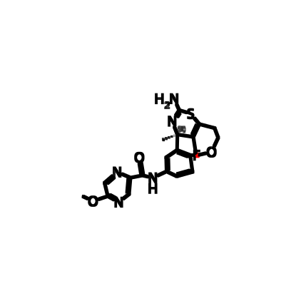 COc1cnc(C(=O)Nc2ccc(F)c([C@@]3(C)N=C(N)SC4=C3COCC4)c2)cn1